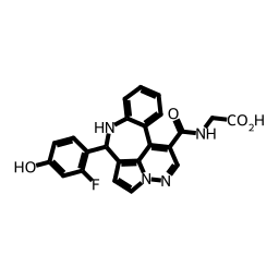 O=C(O)CNC(=O)c1cnn2ccc3c2c1-c1ccccc1NC3c1ccc(O)cc1F